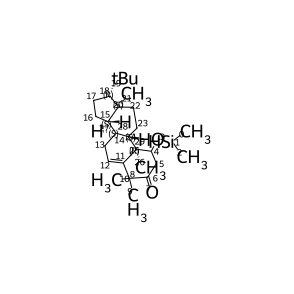 C[SiH](C)OC1CC(=O)C(C)(C)C2=CC[C@H]3[C@@H]4CC[C@H](C(C)(C)C)[C@@]4(C)CC[C@@H]3[C@]21C